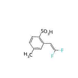 Cc1ccc(S(=O)(=O)O)c(C=C(F)F)c1